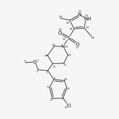 COCC(c1ccc(Cl)cc1)C1CCN(S(=O)(=O)c2c(C)n[nH]c2C)CC1